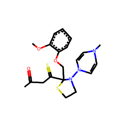 COc1ccccc1OCC1(C(=S)CC(C)=O)SCCN1N1C=CN(C)C=C1